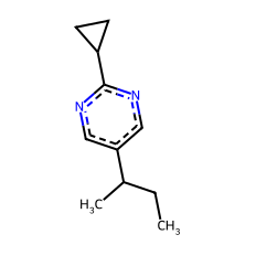 CCC(C)c1cnc(C2CC2)nc1